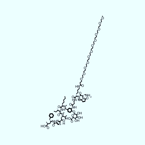 CCCCC[C@H](C(=O)N[C@H](C(=O)N(C)[C@H](C[C@@H](O)c1nc(C(=O)N[C@@H](Cc2ccccc2)C[C@H](C)C(=O)O)cs1)C(C)C)[C@@H](C)CC)N(C)Cc1ccc(O[C@@H]2O[C@H](C(=O)O)C(O)[C@H](O)[C@H]2O)c(NC(=O)CCNC(=O)[C@H](CCCCNC(=O)CCOCCOCCOCCOCCOCCOCCOCCOCCOCCOCCOCCOC)NC(=O)[C@H](CN)N2C(=O)C=CC2=O)c1